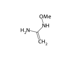 C=C(N)NOC